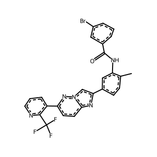 Cc1ccc(-c2cn3nc(-c4cccnc4C(F)(F)F)ccc3n2)cc1NC(=O)c1cccc(Br)c1